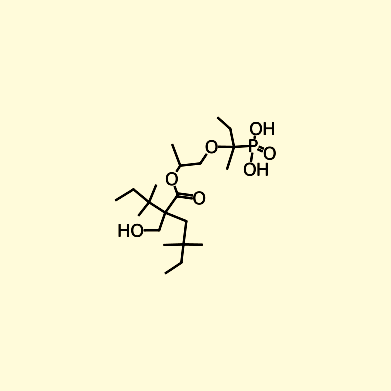 CCC(C)(C)CC(CO)(C(=O)OC(C)COC(C)(CC)P(=O)(O)O)C(C)(C)CC